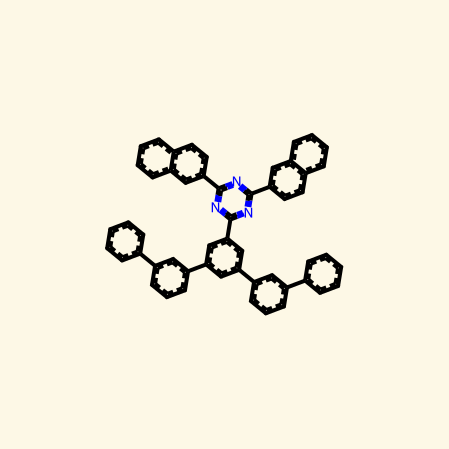 c1ccc(-c2cccc(-c3cc(-c4cccc(-c5ccccc5)c4)cc(-c4nc(-c5ccc6ccccc6c5)nc(-c5ccc6ccccc6c5)n4)c3)c2)cc1